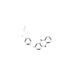 O=C1c2ccccc2C(=O)c2cc(Sc3ccc([S+]([O-])NCCO)cc3)ccc21